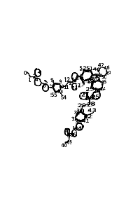 C=CC(=O)OCOc1ccc(CCC(=O)Oc2ccc(C3(c4ccc(OC(=O)CCc5ccc(OCOC(=O)C=C)cc5C)cc4)CCCCC3)cc2)c(C)c1